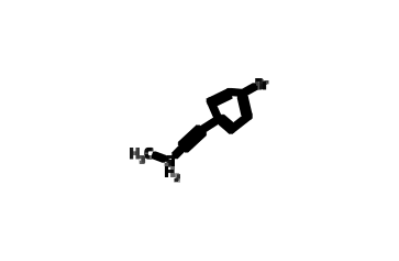 C[SiH2]C#Cc1ccc(Br)cc1